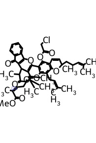 COC(=O)/C(C)=C\CC12OC(C)(C)C(C)C13Oc1c(CC=C(C)C)c4c(c(OC(=O)CCl)c1C1=C3C(C3=C(O1)c1ccccc1C3=O)C(C)C2=O)C=CC(C)(CCC=C(C)C)O4